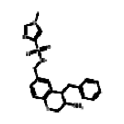 Cn1cnc(S(=O)(=O)NCc2ccc3c(c2)C(Cc2ccccc2)C(N)CO3)c1